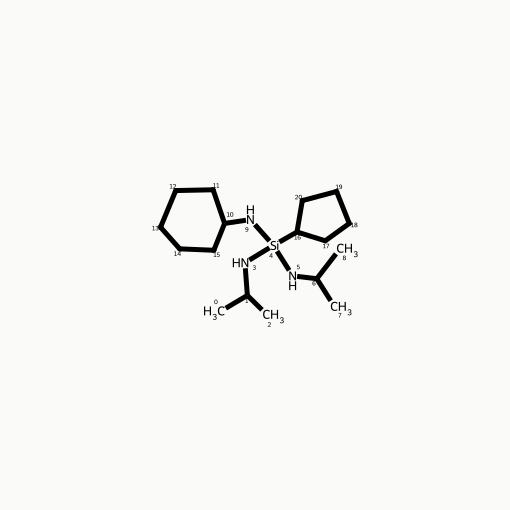 CC(C)N[Si](NC(C)C)(NC1CCCCC1)C1CCCC1